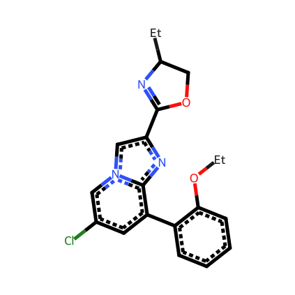 CCOc1ccccc1-c1cc(Cl)cn2cc(C3=NC(CC)CO3)nc12